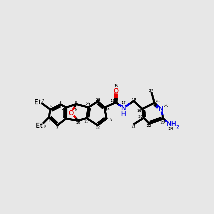 CCc1cc2c(cc1CC)C1OC2c2ccc(C(=O)NCc3c(C)cc(N)nc3C)cc21